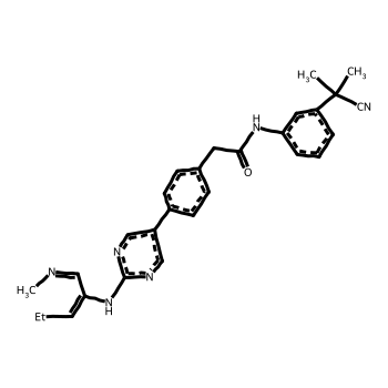 CC/C=C(\C=N/C)Nc1ncc(-c2ccc(CC(=O)Nc3cccc(C(C)(C)C#N)c3)cc2)cn1